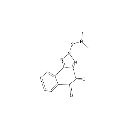 CN(C)Sn1nc2c(n1)-c1ccccc1C(=O)C2=O